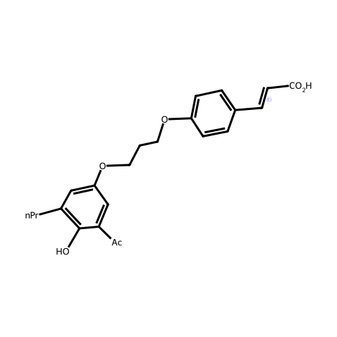 CCCc1cc(OCCCOc2ccc(/C=C/C(=O)O)cc2)cc(C(C)=O)c1O